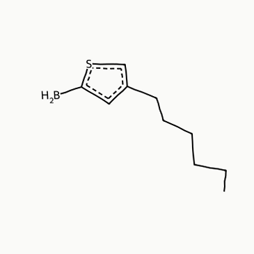 Bc1cc(CCCCCC)cs1